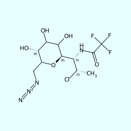 C[C@H](Cl)[C@@H](NC(=O)C(F)(F)F)[C@H]1OC(CN=[N+]=[N-])[C@H](O)C(O)C1O